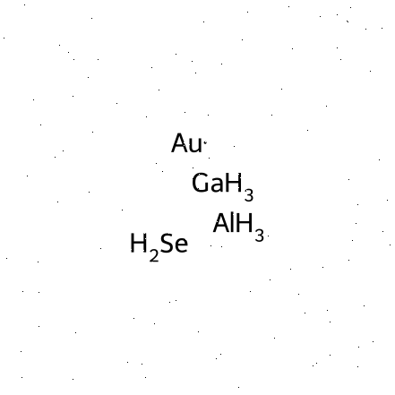 [AlH3].[Au].[GaH3].[SeH2]